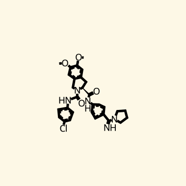 COc1cc2c(cc1OC)CN(C(=O)Nc1ccc(Cl)cc1)[C@H](C(=O)Nc1ccc(C(=N)N3CCCC3)cc1)C2